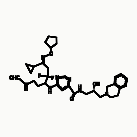 O=CNCCC(Nc1cc(C(=O)NC[C@H](O)CN2CCc3ccccc3C2)ncn1)C(F)(F)C/C(=N\OC1CCCC1)C1CC1